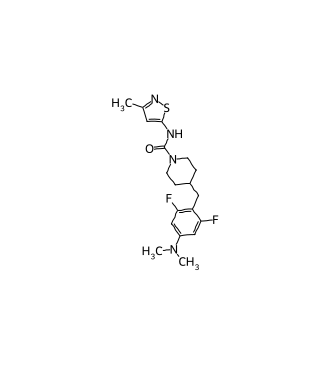 Cc1cc(NC(=O)N2CCC(Cc3c(F)cc(N(C)C)cc3F)CC2)sn1